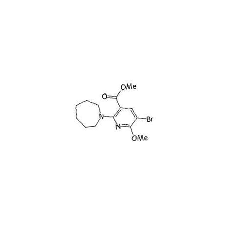 COC(=O)c1cc(Br)c(OC)nc1N1CCCCCC1